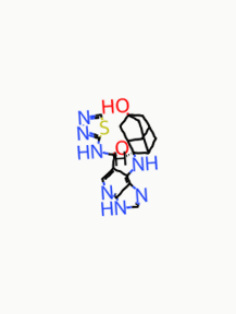 O=C(Nc1nncs1)c1cnc2[nH]cnc2c1N[C@H]1C2CC3CC1C[C@@](O)(C3)C2